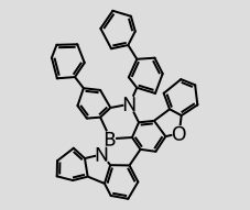 c1ccc(-c2cccc(N3c4cc(-c5ccccc5)ccc4B4c5c(cc6oc7ccccc7c6c53)-c3cccc5c6ccccc6n4c35)c2)cc1